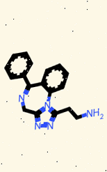 NCCc1nnc2n1-c1ccccc1C(c1ccccc1)=NC2